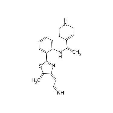 C=C(Nc1ccccc1-c1n/c(=C/C=N)c(=C)s1)C1=CCNCC1